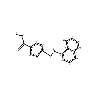 COC(=O)c1ccc(CSc2cccc3cccnc23)cc1